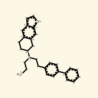 CCCN(CCc1ccc(-c2ccccc2)cc1)[C@H]1CCc2cc3ccoc3cc2C1